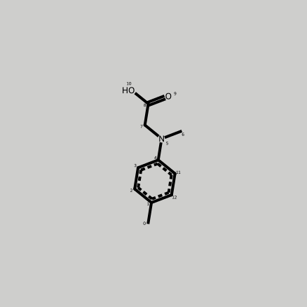 Cc1ccc(N(C)CC(=O)O)cc1